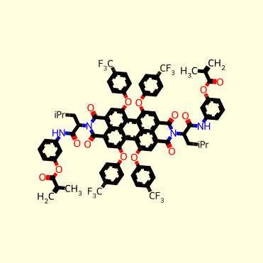 C=C(C)C(=O)Oc1cccc(NC(=O)C(CC(C)C)N2C(=O)c3cc(Oc4ccc(C(F)(F)F)cc4)c4c5c(Oc6ccc(C(F)(F)F)cc6)cc6c7c(cc(Oc8ccc(C(F)(F)F)cc8)c(c8c(Oc9ccc(C(F)(F)F)cc9)cc(c3c48)C2=O)c75)C(=O)N(C(CC(C)C)C(=O)Nc2cccc(OC(=O)C(=C)C)c2)C6=O)c1